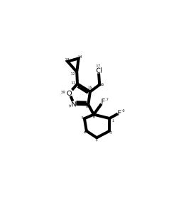 FC1CCCCC1(F)c1noc(C2CC2)c1CCl